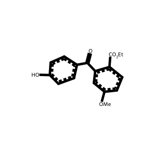 CCOC(=O)c1ccc(OC)cc1C(=O)c1ccc(O)cc1